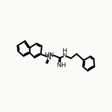 C=[N+](NC(=N)NCCc1ccccc1)c1ccc2ccccc2c1